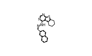 C(=N/Nc1ncnc2sc3c(c12)CCCC3)/c1ccc2ccccc2c1